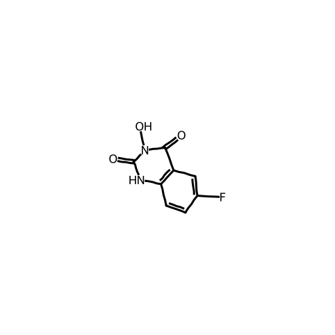 O=c1[nH]c2ccc(F)cc2c(=O)n1O